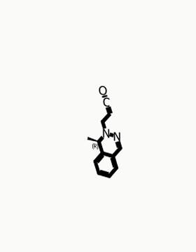 C[C@@H]1c2ccccc2C=NN1CC=C=O